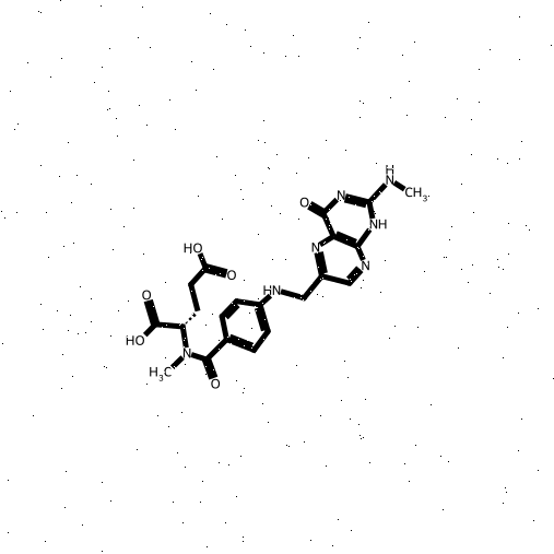 CNc1nc(=O)c2nc(CNc3ccc(C(=O)N(C)[C@@H](CCC(=O)O)C(=O)O)cc3)cnc2[nH]1